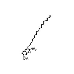 CCCCCCCCCCCCCCCCCCCN(Cc1ccc(O)cc1)C(N)=O